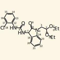 CCOC(CN1C(=O)C(NC(=O)Nc2ccccc2Cl)c2ccccc21)OCC